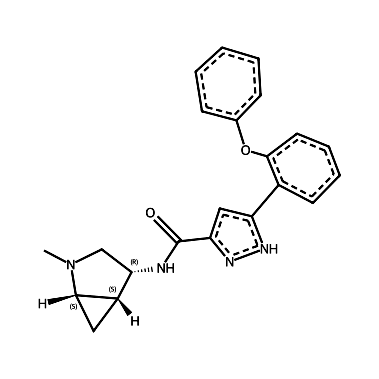 CN1C[C@H](NC(=O)c2cc(-c3ccccc3Oc3ccccc3)[nH]n2)[C@@H]2C[C@@H]21